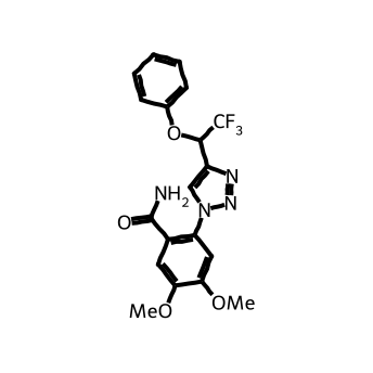 COc1cc(C(N)=O)c(-n2cc(C(Oc3ccccc3)C(F)(F)F)nn2)cc1OC